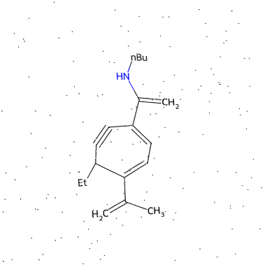 C=C(C)C1=CC=C(C(=C)NCCCC)C#CC1CC